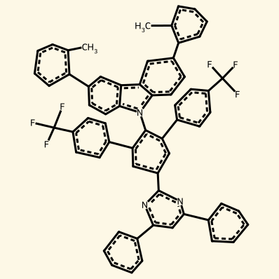 Cc1ccccc1-c1ccc2c(c1)c1cc(-c3ccccc3C)ccc1n2-c1c(-c2ccc(C(F)(F)F)cc2)cc(-c2nc(-c3ccccc3)cc(-c3ccccc3)n2)cc1-c1ccc(C(F)(F)F)cc1